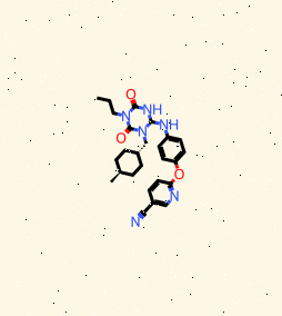 CCCN1C(=O)NC(Nc2ccc(Oc3ccc(C#N)cn3)cc2)N(C[C@H]2CC[C@H](C)CC2)C1=O